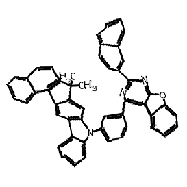 CC1(C)c2cc3c(cc2-c2c1ccc1ccccc21)c1ccccc1n3-c1cccc(-c2nc(-c3ccc4ccccc4c3)nc3oc4ccccc4c23)c1